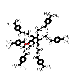 CC(C)c1ccc(C(=O)OOC(=O)OCCC(COC(=O)OOC(=O)c2ccc(C(C)C)cc2)C(COC(=O)OOC(=O)c2ccc(C(C)C)cc2)C(COC(=O)OOC(=O)c2ccc(C(C)C)cc2)C(CCOC(=O)OOC(=O)c2ccc(C(C)C)cc2)COC(=O)OOC(=O)c2ccc(C(C)C)cc2)cc1